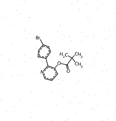 CC(C)(C)C(=O)Oc1cccnc1-c1ccc(Br)cc1